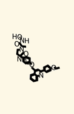 CCOc1ccc(-c2cc(COc3ccc(C4(N)CCN(C(C)C(=O)NO)C4=O)cc3)c3ccccc3n2)cc1